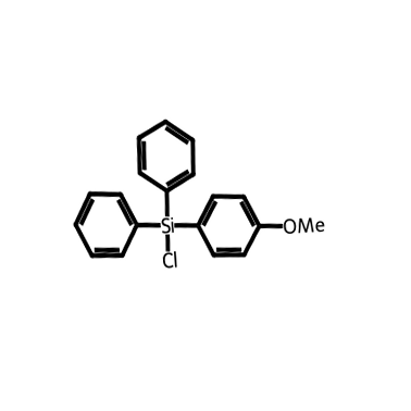 COc1ccc([Si](Cl)(c2ccccc2)c2ccccc2)cc1